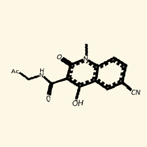 CC(=O)CNC(=O)c1c(O)c2cc(C#N)ccc2n(C)c1=O